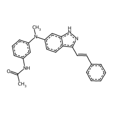 CC(=O)Nc1cccc(N(C)c2ccc3c(C=Cc4ccccc4)n[nH]c3c2)c1